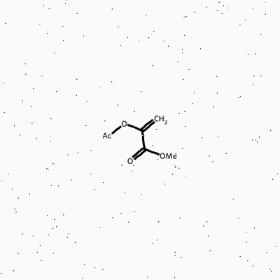 C=C(OC(C)=O)C(=O)OC